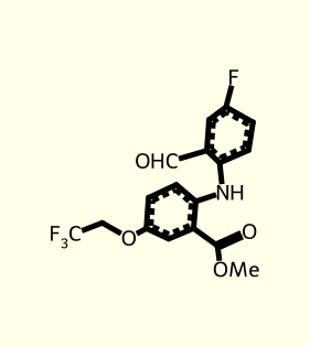 COC(=O)c1cc(OCC(F)(F)F)ccc1Nc1ccc(F)cc1C=O